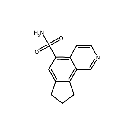 NS(=O)(=O)c1cc2c(c3cnccc13)CCC2